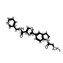 CCC(=O)N1CCc2cc(-c3nc(C(=O)NCc4cccnc4)co3)ccc21